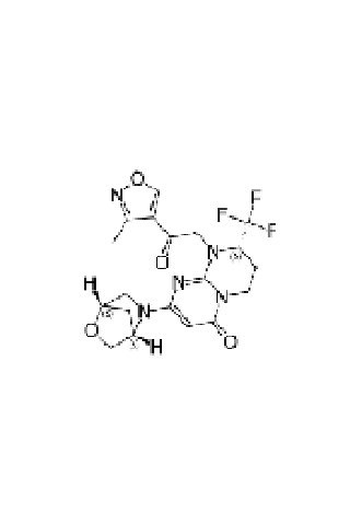 Cc1nocc1C(=O)CN1c2nc(N3C[C@@H]4C[C@H]3CO4)cc(=O)n2CC[C@H]1C(F)(F)F